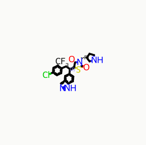 O=C1S/C(=C(/Cc2ccc(Cl)cc2C(F)(F)F)c2ccc3[nH]ncc3c2)C(=O)N1C[C@@H]1CCNC1